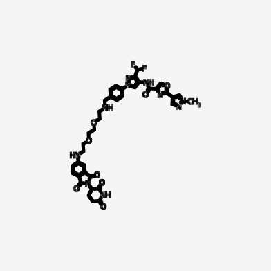 Cn1cc(-c2nc(C(=O)Nc3cn(-c4ccc(CNCCOCCOCCNc5ccc6c(c5)C(=O)N(C5CCC(=O)NC5=O)C6=O)cc4)nc3C(F)F)co2)cn1